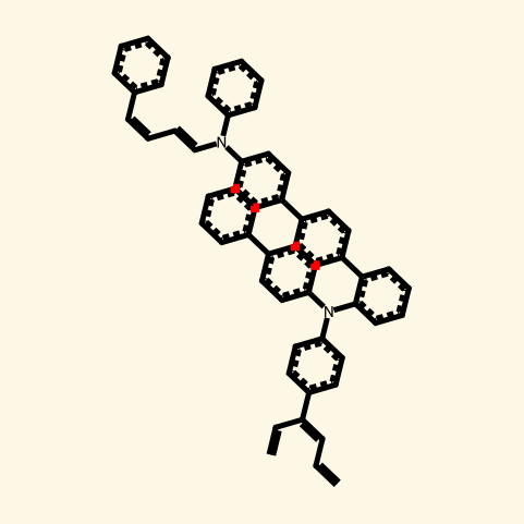 C=C/C=C(\C=C)c1ccc(N(c2ccc(-c3ccccc3)cc2)c2ccccc2-c2ccc(-c3ccc(N(/C=C/C=C\c4ccccc4)c4ccccc4)cc3)cc2)cc1